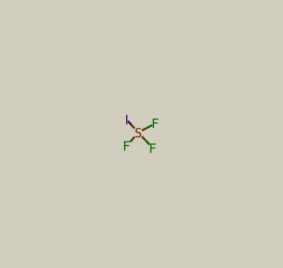 FS(F)(F)I